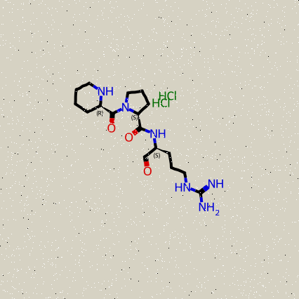 Cl.Cl.N=C(N)NCCC[C@@H](C=O)NC(=O)[C@@H]1CCCN1C(=O)[C@H]1CCCCN1